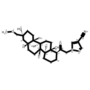 COC[C@@]1(O)CC[C@H]2[C@H](CC[C@@H]3[C@@H]2CC[C@]2(C)[C@@H](C(=O)Cn4cc(C#N)cn4)CCC[C@@H]32)C1